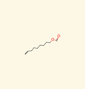 C=CCCCCCCCO[C]=O